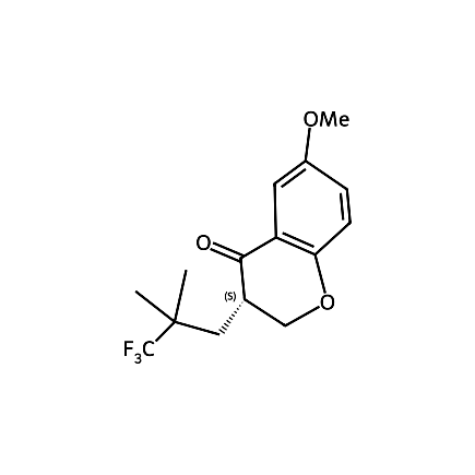 COc1ccc2c(c1)C(=O)[C@@H](CC(C)(C)C(F)(F)F)CO2